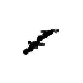 COc1cc(N=Nc2c(S(=O)(=O)O)cc3cc(N=Nc4ccccc4)ccc3c2O)c(OC)cc1N=Nc1ccc(N=Nc2ccc(N=Nc3ccc(S(=O)(=O)O)cc3S(=O)(=O)O)c(C)c2)c(C)c1